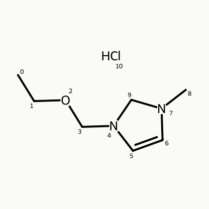 CCOCN1C=CN(C)C1.Cl